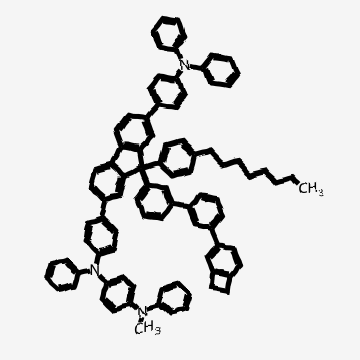 CCCCCCCCc1ccc(C2(c3cccc(-c4cccc(-c5ccc6c(c5)CC6)c4)c3)c3cc(-c4ccc(N(c5ccccc5)c5ccccc5)cc4)ccc3-c3ccc(-c4ccc(N(c5ccccc5)c5ccc(N(C)c6ccccc6)cc5)cc4)cc32)cc1